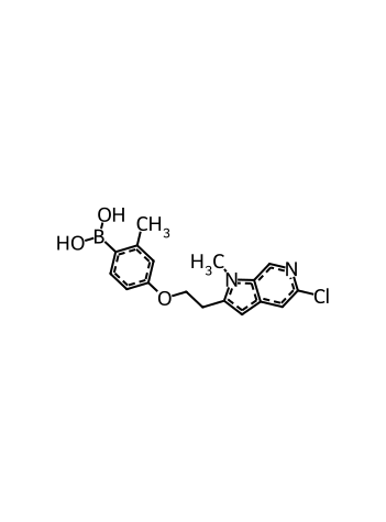 Cc1cc(OCCc2cc3cc(Cl)ncc3n2C)ccc1B(O)O